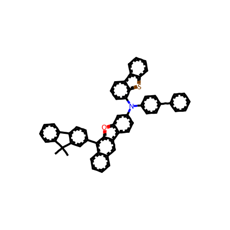 CC1(C)c2ccccc2-c2ccc(-c3c4ccccc4cc4c3oc3cc(N(c5ccc(-c6ccccc6)cc5)c5cccc6c5sc5ccccc56)ccc34)cc21